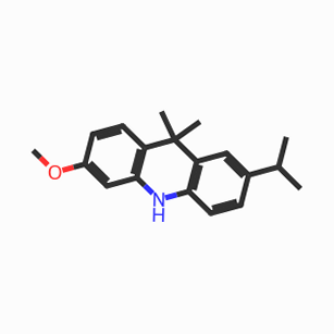 COc1ccc2c(c1)Nc1ccc(C(C)C)cc1C2(C)C